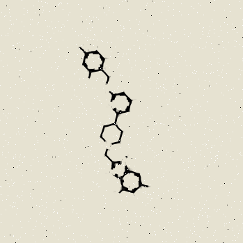 Cn1c(CN2CCC(c3cccc(OCc4ccc(Cl)cc4F)n3)CC2)nc2c(O)cc(C(=O)O)cc21